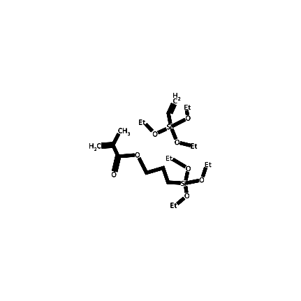 C=C(C)C(=O)OCCC[Si](OCC)(OCC)OCC.C=C[Si](OCC)(OCC)OCC